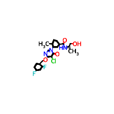 Cc1ccc(C(=O)N[C@@H](C)CO)cc1-n1cnc(OCc2ccc(F)cc2F)c(Cl)c1=O